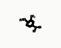 CCN(CC)c1ccc(NC(C)=O)c(C)c1